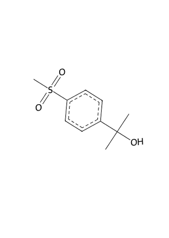 CC(C)(O)c1ccc(S(C)(=O)=O)cc1